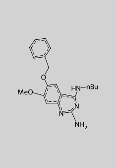 CCCCNc1nc(N)nc2cc(OC)c(OCc3ccccc3)cc12